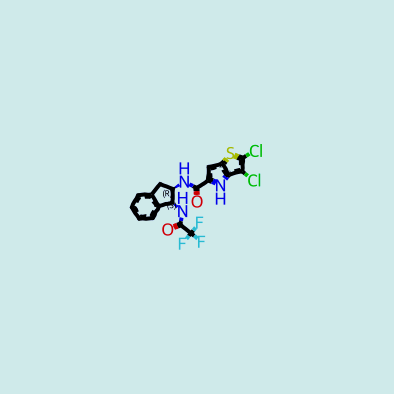 O=C(N[C@@H]1Cc2ccccc2[C@@H]1NC(=O)C(F)(F)F)c1cc2sc(Cl)c(Cl)c2[nH]1